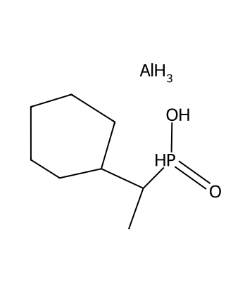 CC(C1CCCCC1)[PH](=O)O.[AlH3]